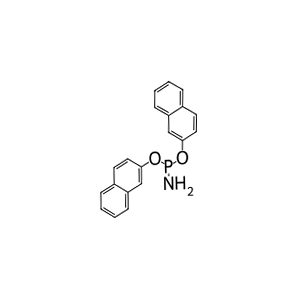 NP(Oc1ccc2ccccc2c1)Oc1ccc2ccccc2c1